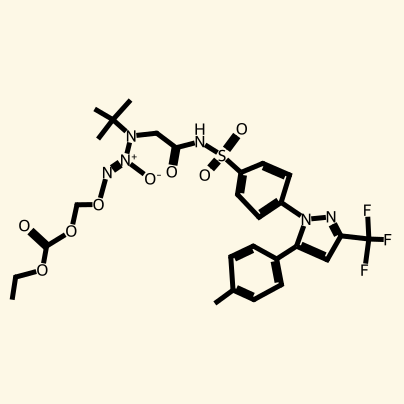 CCOC(=O)OCON=[N+]([O-])N(CC(=O)NS(=O)(=O)c1ccc(-n2nc(C(F)(F)F)cc2-c2ccc(C)cc2)cc1)C(C)(C)C